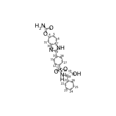 NC(=O)Oc1ccc2[nH]c(-c3ccc(S(=O)(=O)N[C@H](CO)c4ccccc4)cc3)nc2c1